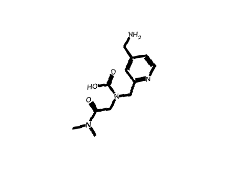 CN(C)C(=O)CN(Cc1cc(CN)ccn1)C(=O)O